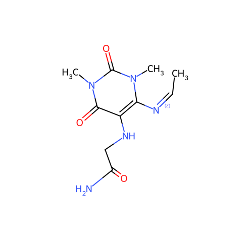 C/C=N\c1c(NCC(N)=O)c(=O)n(C)c(=O)n1C